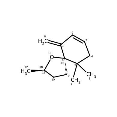 C=C1C=CCC(C)(C)[C@]12CC[C@@H](C)O2